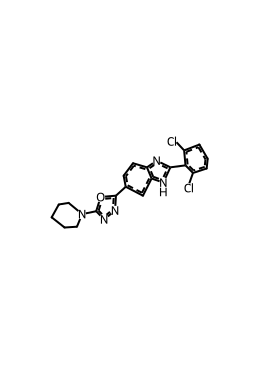 Clc1cccc(Cl)c1-c1nc2ccc(-c3nnc(N4CCCCC4)o3)cc2[nH]1